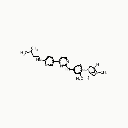 Cc1cc(Nc2nccc(-c3ccc(NCCC(C)C)nc3)n2)ccc1N1C[C@@H]2C[C@H]1CN2C